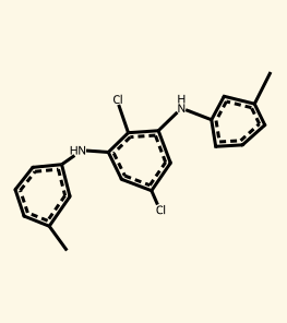 Cc1cccc(Nc2cc(Cl)cc(Nc3cccc(C)c3)c2Cl)c1